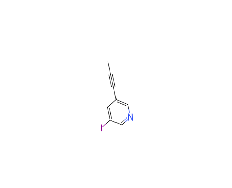 CC#Cc1cncc(I)c1